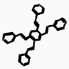 C(=C\c1cc(/C=C/c2ccncc2)c(/C=C/c2ccncc2)cc1/C=C/c1ccncc1)/c1ccncc1